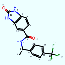 C[C@@H](NC(=O)c1ccc2[nH]c(=O)[nH]c2c1)c1ccc(C(F)(F)F)cc1